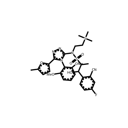 COc1cccc(OC)c1-n1c(-c2ccc(C)o2)nnc1N(CC[Si](C)(C)C)S(=O)(=O)C(C)C(O)c1ccc(F)cc1C#N